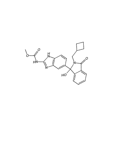 COC(=O)Nc1nc2cc(C3(O)c4ccccc4C(=O)N3CC3CCC3)ccc2[nH]1